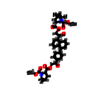 CC(C)(C)OC(=O)N1C(C(=O)OCC(=O)c2ccc(-c3cccc4c(C(=O)COC(=O)[C@@H]5C[C@@H]6C[C@H]6N5C(=O)OC(C)(C)C)cccc34)cc2)CC2CC21